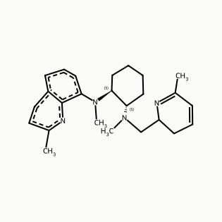 CC1=NC(CN(C)[C@H]2CCCC[C@@H]2N(C)c2cccc3ccc(C)nc23)CC=C1